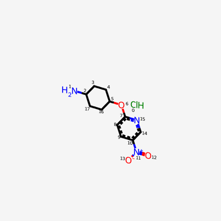 Cl.NC1CCC(Oc2ccc([N+](=O)[O-])cn2)CC1